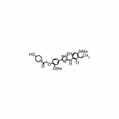 C=Cc1c(NC)ccc(Nc2nc(-c3ccc(OCC(=O)N4CCC(O)CC4)c(OC)c3)nn2C)c1Cl